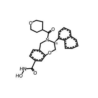 O=C(NO)c1ccc2c(c1)OC[C@H](c1cccc3ccccc13)N(C(=O)C1CCOCC1)C2